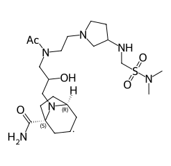 CC(=O)N(CCN1CCC(NCS(=O)(=O)N(C)C)C1)CC(O)CN1[C@@H]2C[CH]C[C@@]1(C(N)=O)CC2